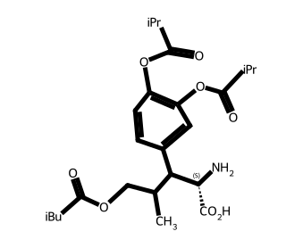 CCC(C)C(=O)OCC(C)C(c1ccc(OC(=O)C(C)C)c(OC(=O)C(C)C)c1)[C@H](N)C(=O)O